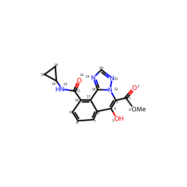 COC(=O)c1c(O)c2cccc(C(=O)NC3CC3)c2c2ncnn12